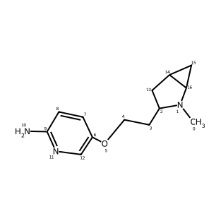 CN1C(CCOc2ccc(N)nc2)CC2CC21